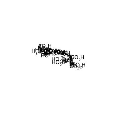 C[C@H](CCC(=O)O)[C@H]1CC[C@H]2[C@@H]3[C@H](O)C[C@@H]4C[C@@H](NC(=O)c5ccc(NC(=S)NCCCCC(C(=O)O)N(CCN(CC(=O)O)CC(=O)O)CCN(CC(=O)O)CC(=O)O)cc5)CC[C@]4(C)[C@H]3C[C@H](O)[C@]12C